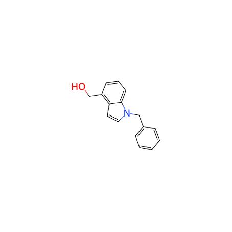 OCc1cccc2c1ccn2Cc1ccccc1